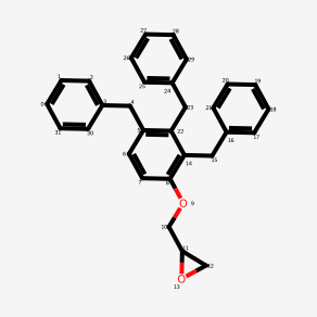 c1ccc(Cc2ccc(OCC3CO3)c(Cc3ccccc3)c2Cc2ccccc2)cc1